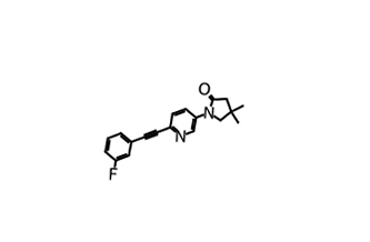 CC1(C)CC(=O)N(c2ccc(C#Cc3cccc(F)c3)nc2)C1